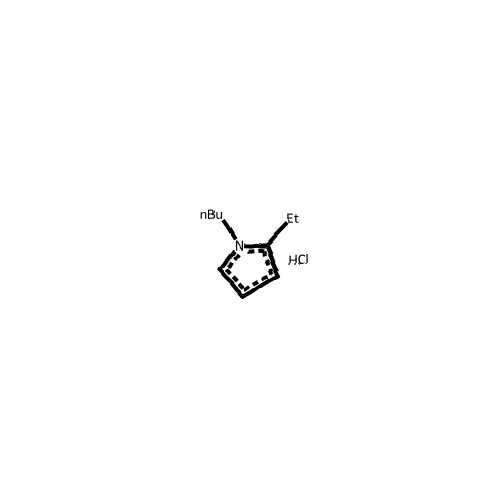 CCCCn1cccc1CC.Cl